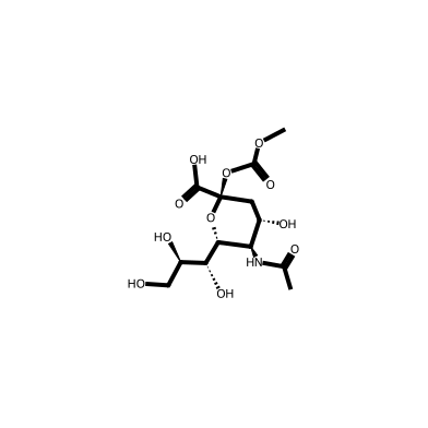 COC(=O)O[C@@]1(C(=O)O)C[C@H](O)[C@@H](NC(C)=O)[C@H]([C@H](O)[C@H](O)CO)O1